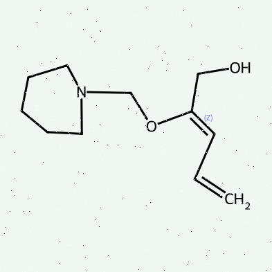 C=C/C=C(/CO)OCN1CCCCC1